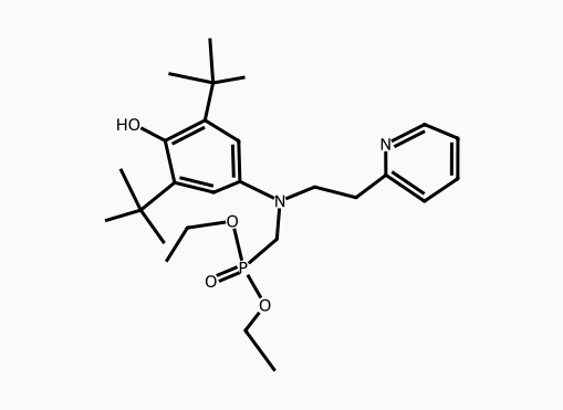 CCOP(=O)(CN(CCc1ccccn1)c1cc(C(C)(C)C)c(O)c(C(C)(C)C)c1)OCC